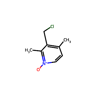 Cc1cc[n+]([O-])c(C)c1CCl